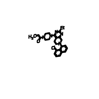 C=CC(=O)N1CCN(c2nc(CC)nc3c2CCN(c2cccc4cccc(Cl)c24)C3)CC1